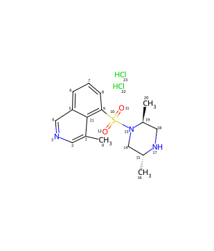 Cc1cncc2cccc(S(=O)(=O)N3C[C@@H](C)NC[C@@H]3C)c12.Cl.Cl